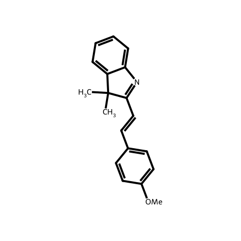 COc1ccc(C=CC2=Nc3ccccc3C2(C)C)cc1